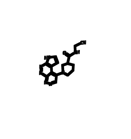 N#CCNC(=O)C1CCCN(c2cnnc3nnc4[nH]ccc4c23)C1